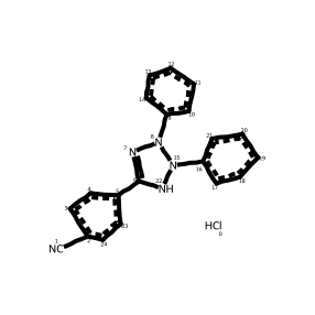 Cl.N#Cc1ccc(C2=NN(c3ccccc3)N(c3ccccc3)N2)cc1